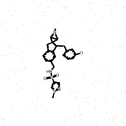 CN1C2C1C21Cc2ccc(CNS(=O)(=O)c3cnn(C)c3)cc2C1Cc1cccc(Cl)c1